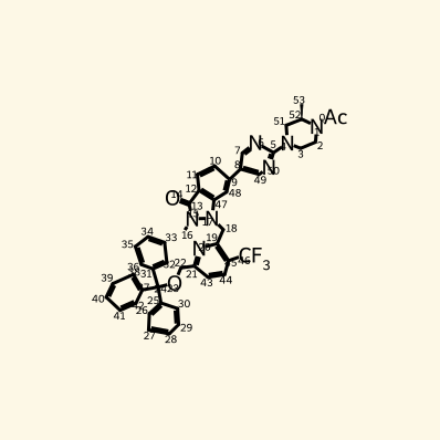 CC(=O)N1CCN(c2ncc(-c3ccc4c(=O)n(C)n(Cc5nc(COC(c6ccccc6)(c6ccccc6)c6ccccc6)ccc5C(F)(F)F)c4c3)cn2)C[C@H]1C